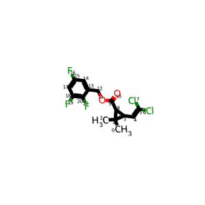 CC1(C)C(C=C(Cl)Cl)C1C(=O)OCc1cc(F)cc(F)c1F